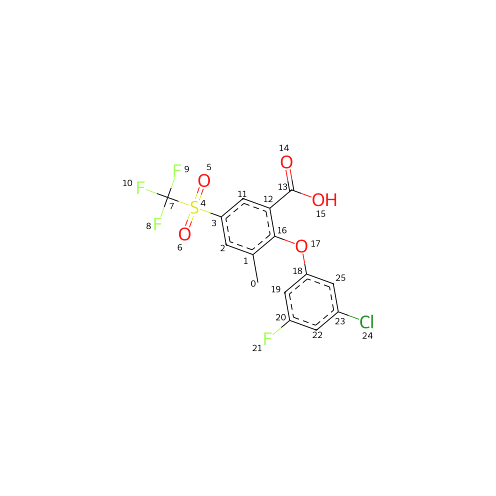 Cc1cc(S(=O)(=O)C(F)(F)F)cc(C(=O)O)c1Oc1cc(F)cc(Cl)c1